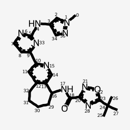 Cn1cc(Nc2nccc(-c3cc4c(cn3)C(NC(=O)c3noc(C(C)(C)C)n3)CCCC4)n2)cn1